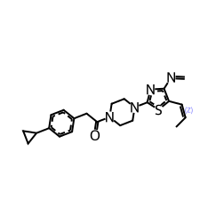 C=Nc1nc(N2CCN(C(=O)Cc3ccc(C4CC4)cc3)CC2)sc1/C=C\C